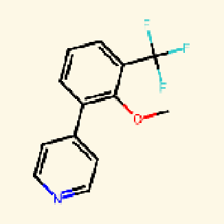 COc1c(-c2ccncc2)cccc1C(F)(F)F